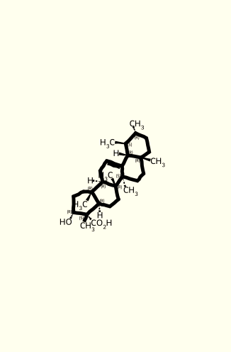 C[C@H]1[C@H](C)CC[C@]2(C)CC[C@]3(C)C(=CC[C@@H]4[C@@]5(C)CC[C@@H](O)[C@@](C)(C(=O)O)[C@@H]5CC[C@]43C)[C@H]12